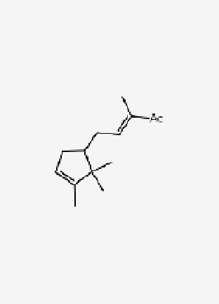 CC(=O)C(C)=CCC1CC=C(C)C1(C)C